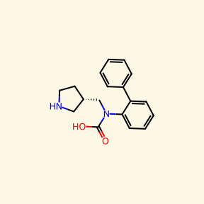 O=C(O)N(C[C@H]1CCNC1)c1ccccc1-c1ccccc1